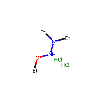 CCONN(CC)CC.Cl.Cl